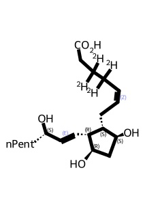 [2H]C([2H])(/C=C\C[C@H]1[C@@H](/C=C/[C@@H](O)CCCCC)[C@H](O)C[C@@H]1O)C([2H])([2H])CC(=O)O